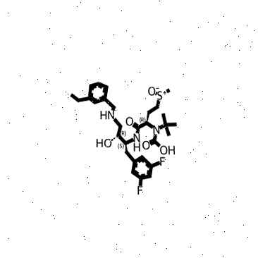 CCc1cccc(CNC[C@@H](O)[C@H](Cc2cc(F)cc(F)c2)NC(=O)[C@@H](CC[S+](C)[O-])N(C(=O)O)C(C)(C)C)c1